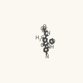 Cc1cc2c(=O)c3c4ccc(C#N)cc4[nH]c3n(C3CCOCC3)c2cc1-c1cncc(OS(=O)(=O)F)c1